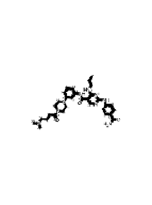 CCCNc1nc(Nc2ccc(C(N)=O)cc2)ncc1C(=O)Nc1cccc(N2CCN(C(=O)/C=C/CN(C)C)CC2)c1